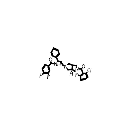 O=C(NC(CCN1CC2CN(C(=O)c3c(F)cccc3Cl)C[C@@H]2C1)c1ccccc1)c1ccc(F)c(F)c1